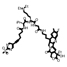 CCN(CC)CCCC[C@H](NC(=O)[C@@H](NC(=O)CCCC#Cc1cnc(S(C)(=O)=O)nc1)C(C)C)C(=O)NCC(=O)NCCCc1c2c(nc3cc(F)c(C)cc13)-c1cc3c(c(=O)n1C2)COC(=O)[C@]3(O)CC